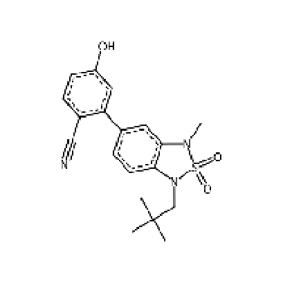 CN1c2cc(-c3cc(O)ccc3C#N)ccc2N(CC(C)(C)C)S1(=O)=O